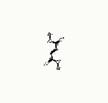 O=C(/C=C/C(=O)OBr)OBr